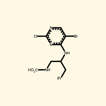 CC(C)CC(CNC(=O)O)Nc1nc(Cl)ncc1Br